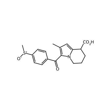 Cc1cc2n(c1C(=O)c1ccc([S+](C)[O-])cc1)CCCC2C(=O)O